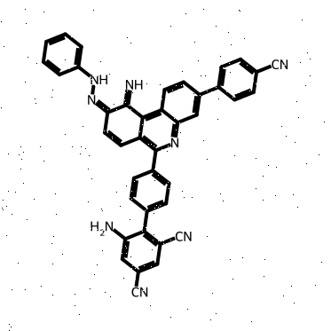 N#Cc1ccc(-c2ccc3c4c(c(-c5ccc(-c6c(N)cc(C#N)cc6C#N)cc5)nc3c2)C=C/C(=N/Nc2ccccc2)C4=N)cc1